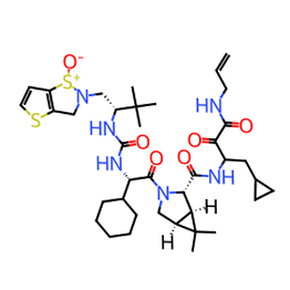 C=CCNC(=O)C(=O)C(CC1CC1)NC(=O)[C@@H]1[C@@H]2[C@H](CN1C(=O)[C@@H](NC(=O)N[C@H](CN1Cc3sccc3[S+]1[O-])C(C)(C)C)C1CCCCC1)C2(C)C